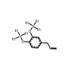 C=CCc1ccc(O[Si](CC)(CC)CC)c(O[Si](CC)(CC)CC)c1